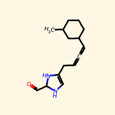 CC1CCCC(C=C=CCC2=CNC(C=O)N2)C1